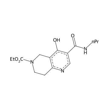 CCCNC(=O)c1cnc2c(c1O)CN(C(=O)OCC)CC2